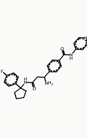 NC(CC(=O)NC1(c2ccc(F)cc2)CCCC1)c1ccc(C(=O)Nc2ccncc2)cc1